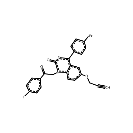 C#CCOc1ccc2c(c1)c(-c1ccc(C(C)C)cc1)nc(=O)n2CC(=O)c1ccc(F)cc1